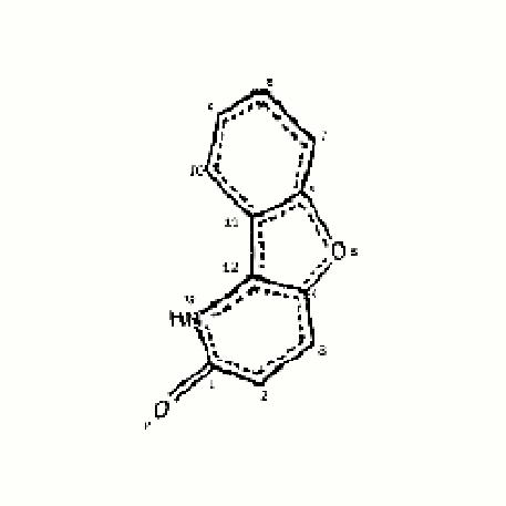 O=c1ccc2oc3ccccc3c2[nH]1